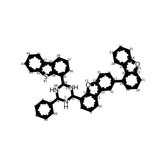 c1ccc(C2NC(c3cccc4c3oc3ccc(-c5cccc6oc7ccccc7c56)cc34)NC(c3cccc4c3sc3ccccc34)N2)cc1